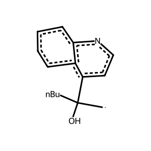 [CH2]C(O)(CCCC)c1ccnc2ccccc12